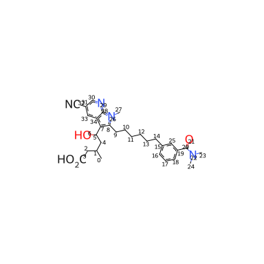 CC(CC(=O)O)CC(O)c1c(CCCCCCc2cccc(C(=O)N(C)C)c2)n(C)c2ncc(C#N)cc12